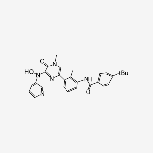 Cc1c(NC(=O)c2ccc(C(C)(C)C)cc2)cccc1-c1cn(C)c(=O)c(N(O)c2cccnc2)n1